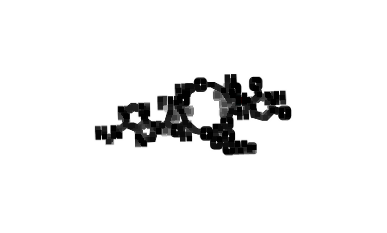 COOP1(=O)OC[C@H]2O[C@@H](n3cnc4c(N)ncnc43)[C@H](F)[C@@H]2OPOC[C@H]2O[C@@H](n3ccc(=O)[nH]c3=O)[C@H](O1)[C@@H]2F